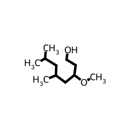 COC(CCO)CC(C)CC(C)C